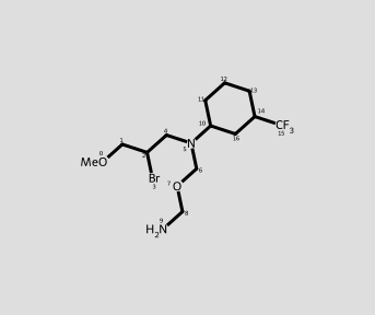 COCC(Br)CN(COCN)C1CCCC(C(F)(F)F)C1